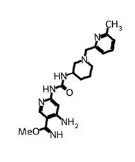 COC(=N)c1cnc(NC(=O)N[C@@H]2CCCN(Cc3cccc(C)n3)C2)cc1N